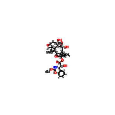 CCCCOC(=O)N[C@@H](c1ccccc1)[C@@H](O)C(=O)O[C@H]1C[C@@]2(O)[C@@H](OC)C3C(C)(C(=O)[C@H](O)C(=C1C)C2(C)C)[C@@H](O)CC1OC[C@]13OC(C)=O